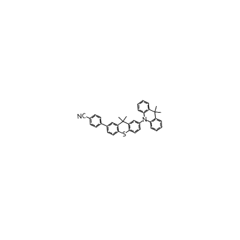 CC1(C)c2cc(-c3ccc(C#N)cc3)ccc2Sc2ccc(N3c4ccccc4C(C)(C)c4ccccc43)cc21